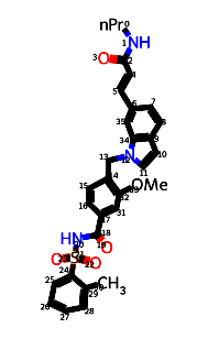 CCCNC(=O)C=Cc1ccc2ccn(Cc3ccc(C(=O)NS(=O)(=O)c4ccccc4C)cc3OC)c2c1